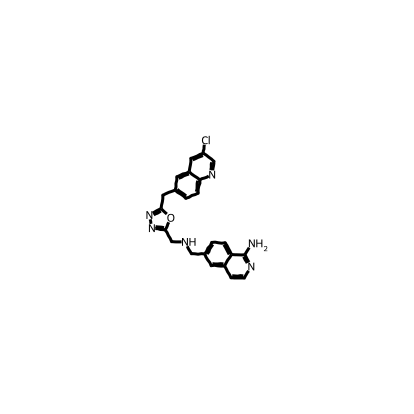 Nc1nccc2cc(CNCc3nnc(Cc4ccc5ncc(Cl)cc5c4)o3)ccc12